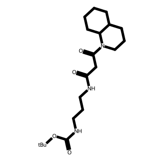 CC(C)(C)OC(=O)NCCCNC(=O)CC(=O)N1CCCC2CCCCC21